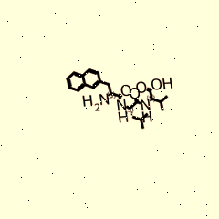 CC(C)C[C@H](NC(=O)[C@@H](N)Cc1ccc2ccccc2c1)C(=O)N[C@H](C(=O)O)C(C)C